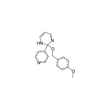 COc1ccc(COC2(c3ccncc3)N=CC=CN2)cc1